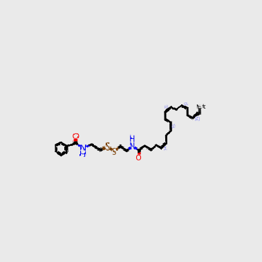 CC/C=C\C/C=C\C/C=C\C/C=C\C/C=C\CCCC(=O)NCCSSCCNC(=O)c1ccccc1